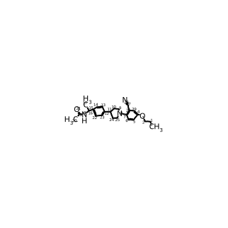 CCCOc1ccc(N2CCC(c3ccc(C(C)NC(C)=O)cc3)CC2)c(C#N)c1